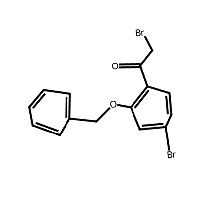 O=C(CBr)c1ccc(Br)cc1OCc1ccccc1